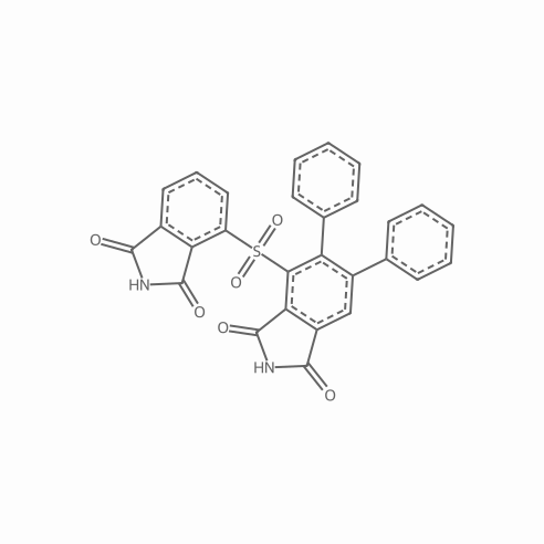 O=C1NC(=O)c2c1cccc2S(=O)(=O)c1c2c(cc(-c3ccccc3)c1-c1ccccc1)C(=O)NC2=O